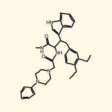 CCc1ccc(CC(c2c[nH]c3ccccc23)C(NC(=O)CN2CCN(c3ccccc3)CC2)C(=O)NC)cc1CC